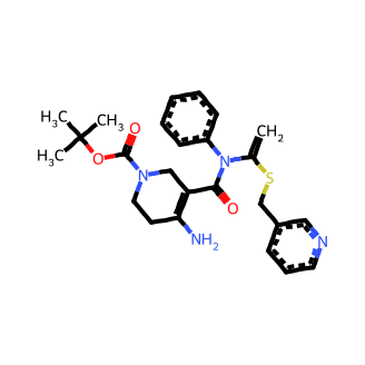 C=C(SCc1cccnc1)N(C(=O)C1=C(N)CCN(C(=O)OC(C)(C)C)C1)c1ccccc1